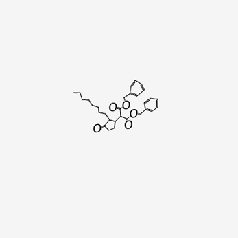 CCCCCCCCC1C(=O)CCC1C(C(=O)OCc1ccccc1)C(=O)OCc1ccccc1